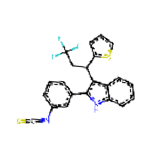 FC(F)(F)CC(c1cccs1)c1c(-c2cccc(N=C=S)c2)[nH]c2ccccc12